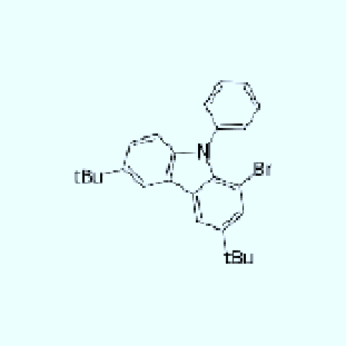 CC(C)(C)c1ccc2c(c1)c1cc(C(C)(C)C)cc(Br)c1n2-c1ccccc1